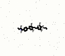 C=CCSc1c(F)cc(CCc2c(F)cc(-c3ccc(/C(F)=C(\F)CC)cc3)cc2F)cc1F